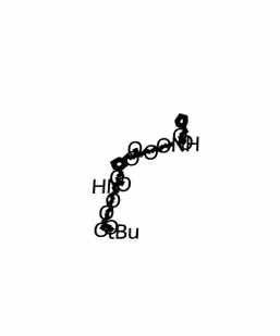 CC(C)(C)OC(=O)CCOCCOCCNC(=O)OCc1cccc(COC(=O)CCOCCOCCNC(=O)OCc2ccccc2)c1